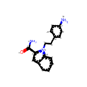 NC(=O)c1cc2ccccc2n1CCc1ccc(N)cc1